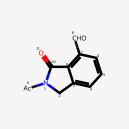 CC(=O)N1Cc2cccc(C=O)c2C1=O